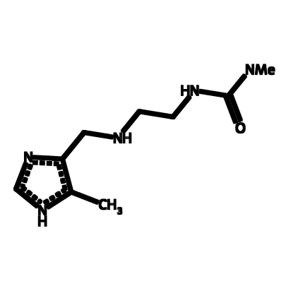 CNC(=O)NCCNCc1nc[nH]c1C